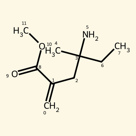 C=C(CC(C)(N)CC)C(=O)OC